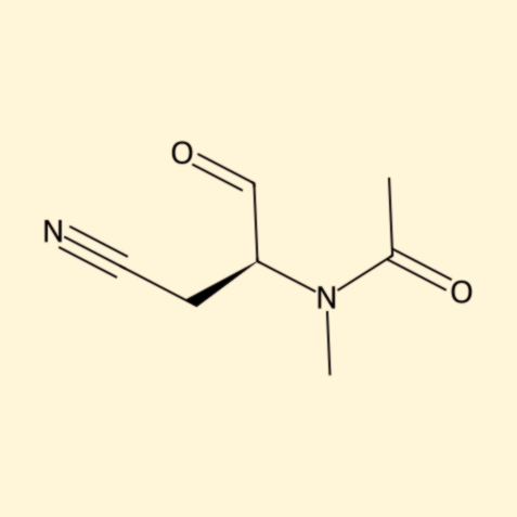 CC(=O)N(C)[C@H](C=O)CC#N